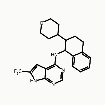 FC(F)(F)c1cc2c(NC3c4ccccc4CCC3C3CCOCC3)ncnc2[nH]1